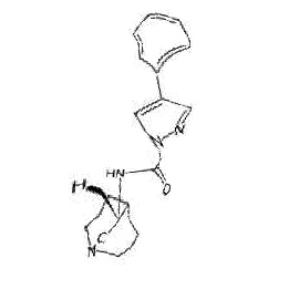 O=C(N[C@H]1CN2CCC1CC2)n1cc(-c2ccccc2)cn1